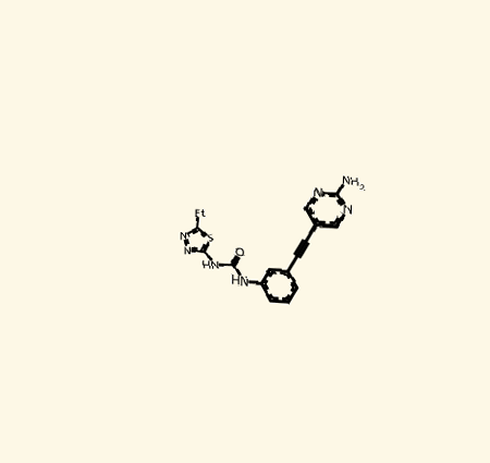 CCc1nnc(NC(=O)Nc2cccc(C#Cc3cnc(N)nc3)c2)s1